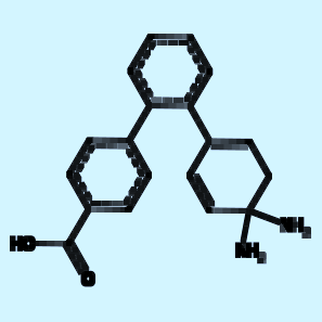 NC1(N)C=CC(c2ccccc2-c2ccc(C(=O)O)cc2)=CC1